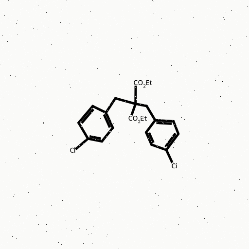 CCOC(=O)C(Cc1ccc(Cl)cc1)(Cc1ccc(Cl)cc1)C(=O)OCC